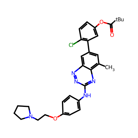 Cc1cc(-c2cc(OC(=O)C(C)(C)C)ccc2Cl)cc2nnc(Nc3ccc(OCCN4CCCC4)cc3)nc12